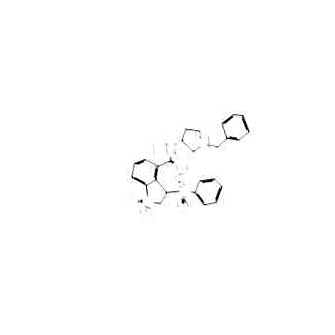 O=C(N[C@H]1CCN(Cc2ccccc2)C1)c1cccc2c1C(S(=O)(=O)c1ccccc1)CS2(=O)=O